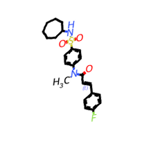 CN(C(=O)/C=C/c1ccc(F)cc1)c1ccc(S(=O)(=O)NC2CCCCCC2)cc1